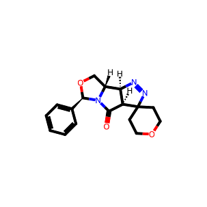 O=C1[C@H]2[C@H](N=NC23CCOCC3)[C@H]2CO[C@H](c3ccccc3)N12